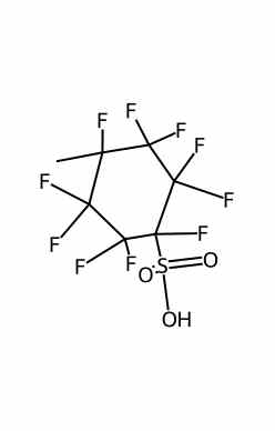 CC1(F)C(F)(F)C(F)(F)C(F)(S(=O)(=O)O)C(F)(F)C1(F)F